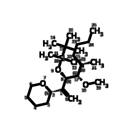 C=C([C@@H]1CCCCO1)[C@@H](O[Si](C)(C)C(C)(C)C)[C@@H](OC)[C@@H](C)CCCC